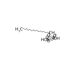 CCCCCCCCCCCCCCCCC(C)OC(CS(=O)(=O)O)CS(=O)(=O)O